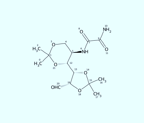 CC1(C)OC[C@@H](NC(=O)C(N)=O)[C@H]([C@@H]2OC(C)(C)O[C@@H]2C=O)O1